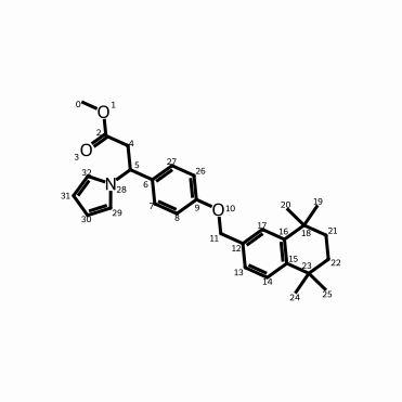 COC(=O)CC(c1ccc(OCc2ccc3c(c2)C(C)(C)CCC3(C)C)cc1)n1cccc1